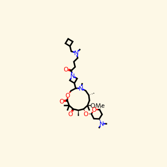 CO[C@]1(C)C[C@@H](C)CN(C)C(C2CN(C(=O)CCCN(C)CC3CCC3)C2)COC(=O)C(C)(C)C(=O)[C@H](C)[C@H]1O[C@H]1C[C@@H](N(C)C)C[C@@H](C)O1